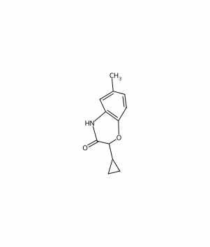 Cc1ccc2c(c1)NC(=O)C(C1CC1)O2